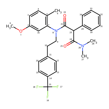 COc1ccc(C)c(N(CCc2ccc(C(F)(F)F)cc2)C(=O)C(C(=O)N(C)C)c2ccccc2)c1